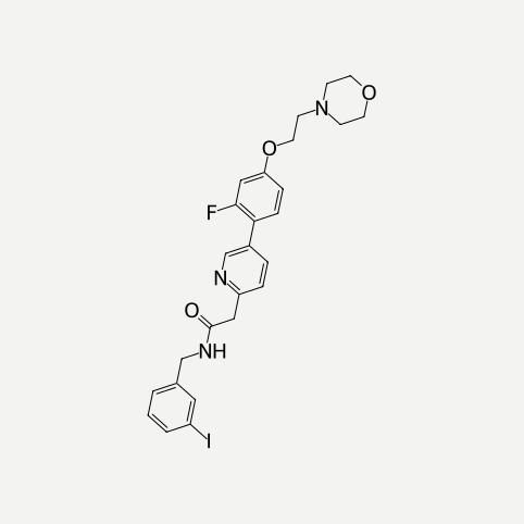 O=C(Cc1ccc(-c2ccc(OCCN3CCOCC3)cc2F)cn1)NCc1cccc(I)c1